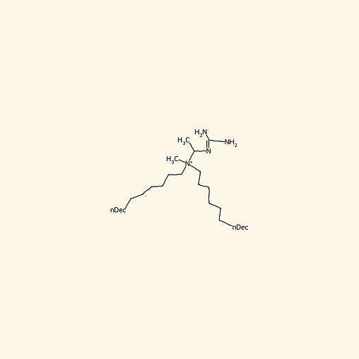 CCCCCCCCCCCCCCCC[N+](C)(CCCCCCCCCCCCCCCC)C(C)N=C(N)N